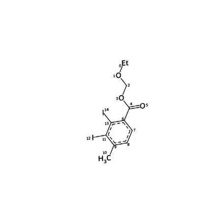 CCOCOC(=O)c1ccc(C)c(I)c1I